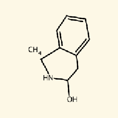 C.OC1Cc2ccccc2CN1